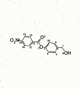 O=C(Oc1ccc(CO)cc1)c1ccc([N+](=O)[O-])cc1